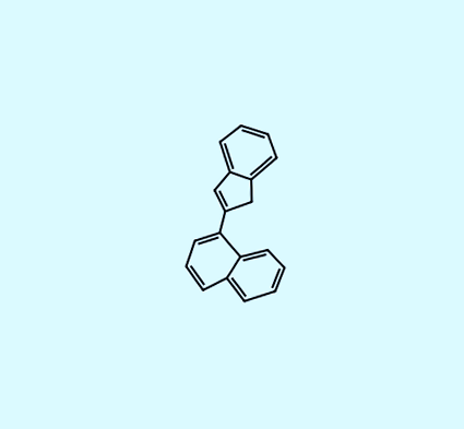 C1=C(c2cccc3ccccc23)Cc2ccccc21